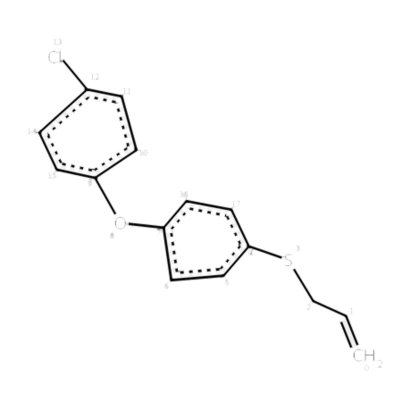 C=CCSc1ccc(Oc2ccc(Cl)cc2)cc1